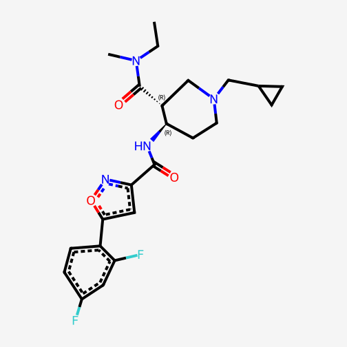 CCN(C)C(=O)[C@@H]1CN(CC2CC2)CC[C@H]1NC(=O)c1cc(-c2ccc(F)cc2F)on1